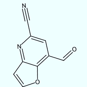 N#Cc1cc(C=O)c2occc2n1